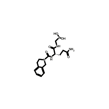 NC(=O)CC[C@H](NC(=O)N1CCc2ccccc2C1)C(=O)NCB(O)O